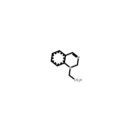 O=C(O)CN1CN=Cc2ccccc21